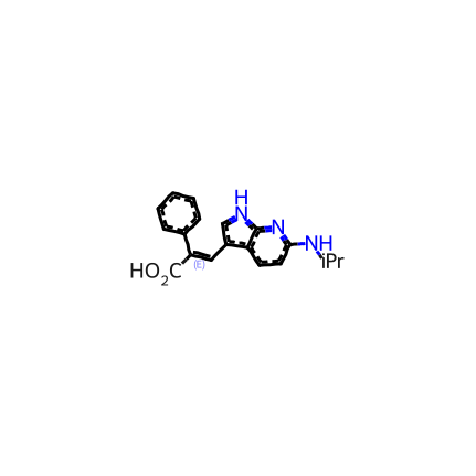 CC(C)Nc1ccc2c(/C=C(/C(=O)O)c3ccccc3)c[nH]c2n1